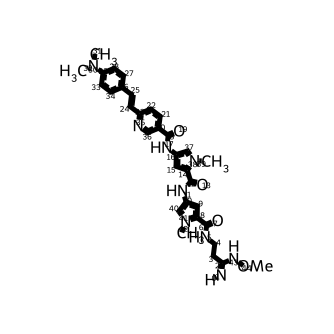 [H]/N=C(\CCNC(=O)c1cc(NC(=O)c2cc(NC(=O)c3ccc(C=Cc4ccc(N(C)C)cc4)nc3)cn2C)cn1C)NOC